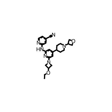 CCOC1CN(c2cc(C3CCN(C4COC4)CC3)cc(Nc3cc(C#N)ccn3)n2)C1